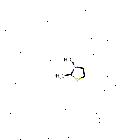 [CH2]C1SCCN1C